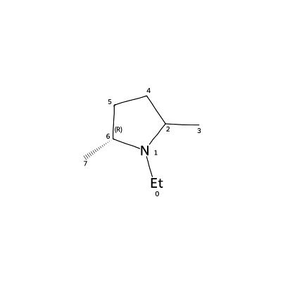 CCN1C(C)CC[C@H]1C